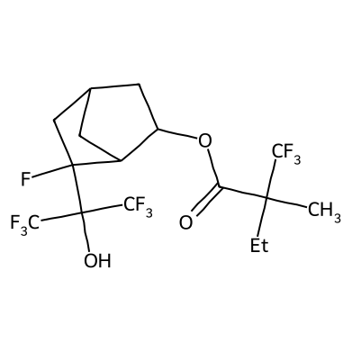 CCC(C)(C(=O)OC1CC2CC1C(F)(C(O)(C(F)(F)F)C(F)(F)F)C2)C(F)(F)F